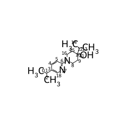 CC(C)c1ccc(N2CCC(O)(C(C)C)CC2)nc1